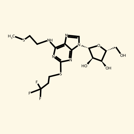 CSCCNc1nc(SCCC(F)(F)F)nc2c1ncn2[C@@H]1O[C@H](CO)[C@@H](O)[C@H]1O